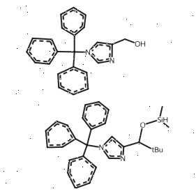 C[SiH](C)OC(c1cn(C(c2ccccc2)(c2ccccc2)c2ccccc2)cn1)C(C)(C)C.OCc1cn(C(c2ccccc2)(c2ccccc2)c2ccccc2)cn1